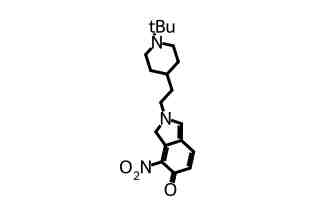 CC(C)(C)N1CCC(CCN2C=C3C=CC(=O)C([N+](=O)[O-])=C3C2)CC1